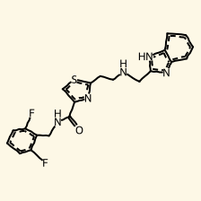 O=C(NCc1c(F)cccc1F)c1csc(CCNCc2nc3ccccc3[nH]2)n1